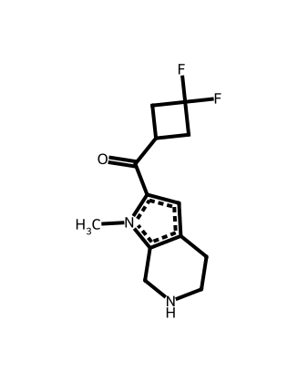 Cn1c(C(=O)C2CC(F)(F)C2)cc2c1CNCC2